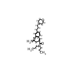 CCCN(CCC)C(=O)C1=Cc2ccc(CCCN3CCOCC3)cc2N=C(N)C1